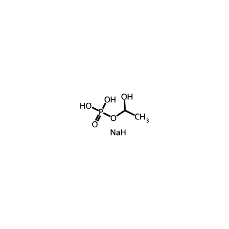 CC(O)OP(=O)(O)O.[NaH]